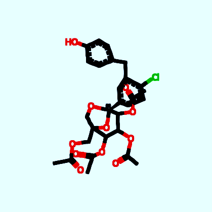 CC(=O)OCC12CO[C@@](c3ccc(Cl)c(Cc4ccc(O)cc4)c3)(O1)C(OC(C)=O)C(OC(C)=O)C2OC(C)=O